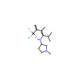 C=C(/C(C)=C(\NC1CCN(C)C1)C(C)C)C(F)(F)F